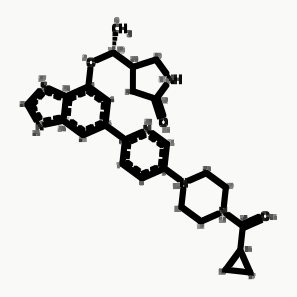 C[C@@H](Oc1cc(-c2ccc(N3CCN(C(=O)C4CC4)CC3)cn2)cc2ncsc12)C1CNC(=O)C1